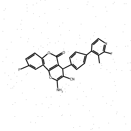 Cc1c(-c2ccc(C3C(C#N)=C(N)Oc4c3c(=O)oc3ccc(F)cc43)cc2)ccnc1F